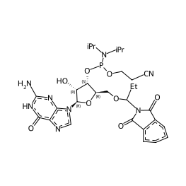 CCC(OC[C@H]1O[C@@H](n2cnc3c(=O)[nH]c(N)nc32)[C@H](O)[C@@H]1OP(OCCC#N)N(C(C)C)C(C)C)N1C(=O)c2ccccc2C1=O